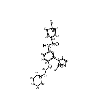 Cn1nccc1-c1cc(NC(=O)c2ccc(F)cc2)ccc1OCCN1CCCCC1